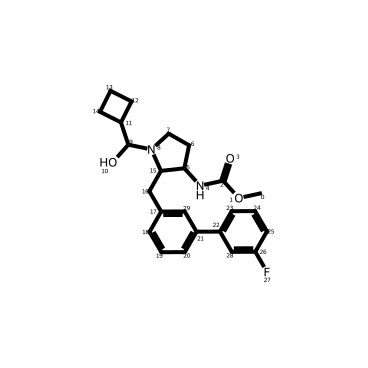 COC(=O)NC1CCN(C(O)C2CCC2)C1Cc1cccc(-c2cccc(F)c2)c1